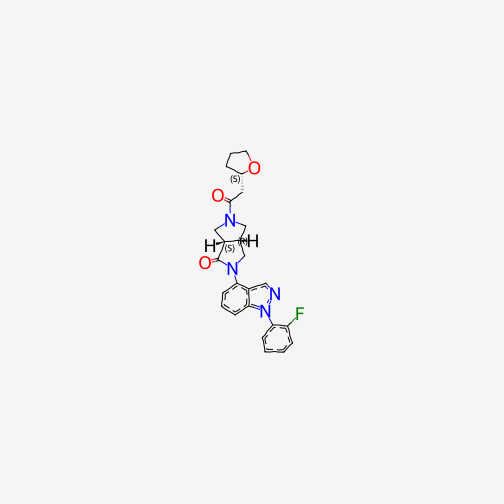 O=C(C[C@@H]1CCCO1)N1C[C@@H]2CN(c3cccc4c3cnn4-c3ccccc3F)C(=O)[C@@H]2C1